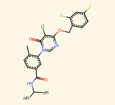 CCCC(CCC)NC(=O)c1ccc(C)c(-n2cnc(OCc3ccc(F)cc3F)c(Cl)c2=O)c1